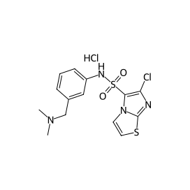 CN(C)Cc1cccc(NS(=O)(=O)c2c(Cl)nc3sccn23)c1.Cl